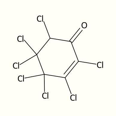 O=C1C(Cl)=C(Cl)C(Cl)(Cl)C(Cl)(Cl)C1Cl